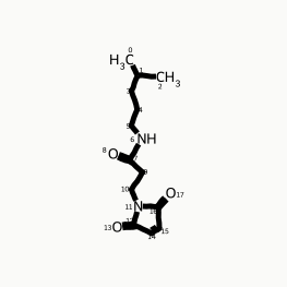 CC(C)CCCNC(=O)CCN1C(=O)C=CC1=O